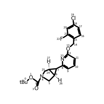 CC(C)(C)OC(=O)N1C[C@@H]2C(c3cccc(OCc4ccc(Cl)cc4F)n3)[C@@H]2C1